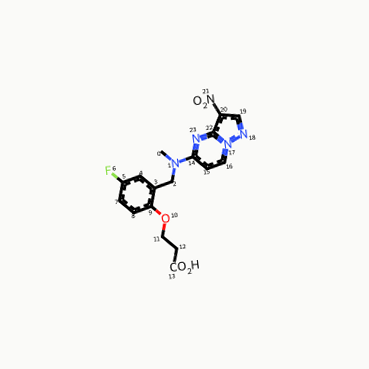 CN(Cc1cc(F)ccc1OCCC(=O)O)c1ccn2ncc([N+](=O)[O-])c2n1